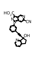 N#Cc1cc2c(cn1)c(C(=O)O)nn2-c1cccc(C#CC2(O)CCc3cccnc32)c1